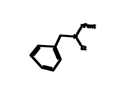 CCCCCN(CC)Cc1ccccc1